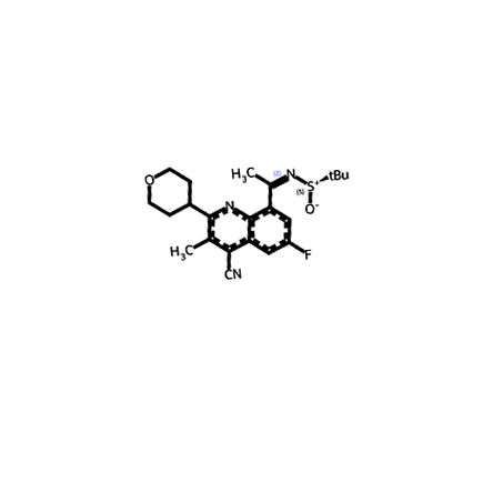 C/C(=N/[S@+]([O-])C(C)(C)C)c1cc(F)cc2c(C#N)c(C)c(C3CCOCC3)nc12